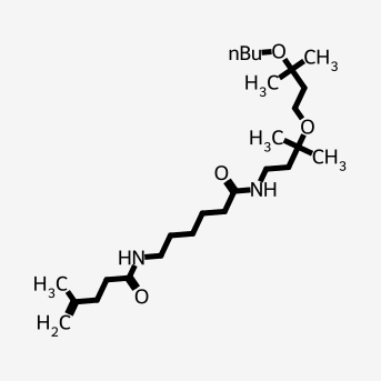 C=C(C)CCC(=O)NCCCCCC(=O)NCCC(C)(C)OCCC(C)(C)OCCCC